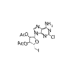 CC(=O)O[C@@H]1[C@H](OC(C)=O)[C@@H](CI)O[C@H]1n1cnc2c(N)nc(Cl)nc21